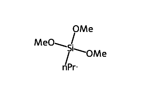 [CH2]C[CH][Si](OC)(OC)OC